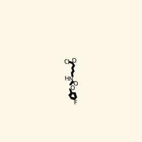 O=C(Cl)CCCCCNC(=O)COCc1ccc(F)cc1